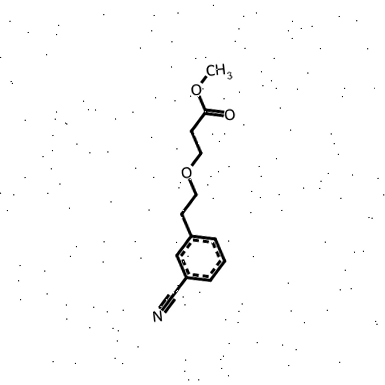 COC(=O)CCOCCc1cccc(C#N)c1